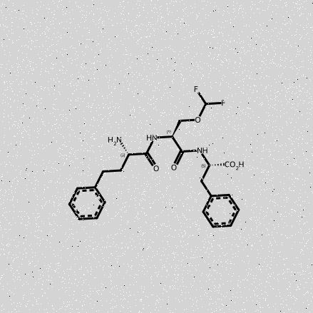 N[C@@H](CCc1ccccc1)C(=O)N[C@@H](COC(F)F)C(=O)N[C@@H](Cc1ccccc1)C(=O)O